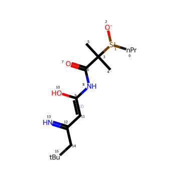 CCC[S+]([O-])C(C)(C)C(=O)N/C(O)=C/C(=N)CC(C)(C)C